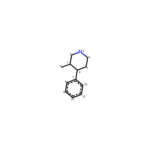 CC1C[N]CCC1c1ccccc1